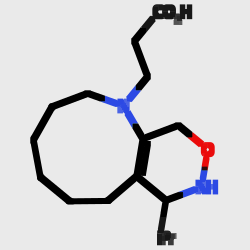 CC(C)C1NOCC2=C1CCCCCCN2CCC(=O)O